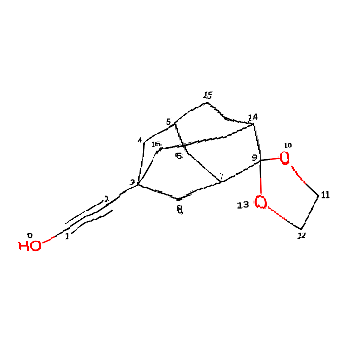 OC#CC12CC3CC(C1)C1(OCCO1)C(C3)C2